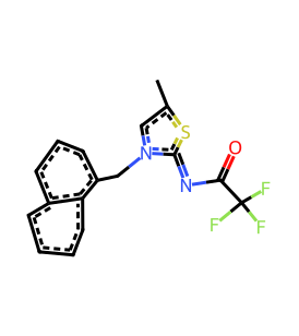 Cc1cn(Cc2cccc3ccccc23)/c(=N/C(=O)C(F)(F)F)s1